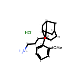 COc1ccccc1C1(CCCN)C2CC3CC(C2)CC1C3.Cl